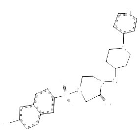 O=C1CN(S(=O)(=O)c2ccc3cc(Cl)ccc3c2)CCN1[N]C1CCN(c2ccncc2)CC1